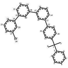 CC(C)(c1ccccc1)c1ccc(-c2cccc(-c3cccc(-c4cccc(Br)c4)c3)c2)cc1